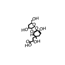 CC1(C[C@@H](O)C(=O)O)CC=C(O)C(O[C@@H]2O[C@H](CO)C[C@H](O)[C@H]2O)=CC1